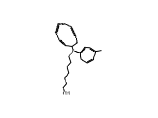 CC1=CC=C(P(CCCCCCCO)C2C=C/C=C\C/C=C\C2)CC=C1